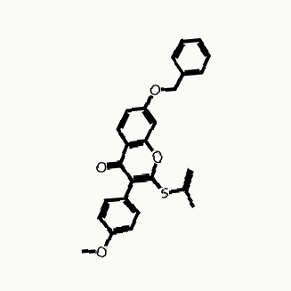 C=C(C)Sc1oc2cc(OCc3ccccc3)ccc2c(=O)c1-c1ccc(OC)cc1